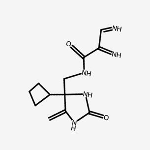 C=C1NC(=O)NC1(CNC(=O)C(=N)C=N)C1CCC1